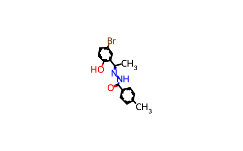 C/C(=N\NC(=O)c1ccc(C)cc1)c1cc(Br)ccc1O